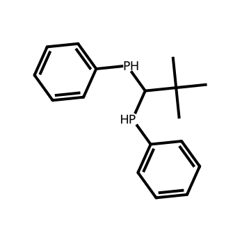 CC(C)(C)C(Pc1ccccc1)Pc1ccccc1